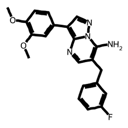 COc1ccc(-c2cnn3c(N)c(Cc4cccc(F)c4)cnc23)cc1OC